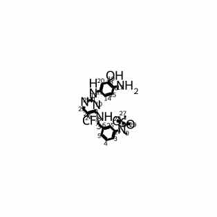 CN(c1cccc(CNc2nc(Nc3ccc(N)c(O)c3)ncc2C(F)(F)F)c1)S(C)(=O)=O